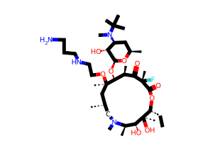 CC[C@H]1OC(=O)[C@@](C)(F)C(=O)[C@H](C)[C@@H](O[C@@H]2O[C@H](C)C[C@H](N(C)C(C)(C)C)[C@H]2O)[C@](C)(OCCNCCCN)C[C@@H](C)CN(C)[C@H](C)[C@@H](O)[C@]1(C)O